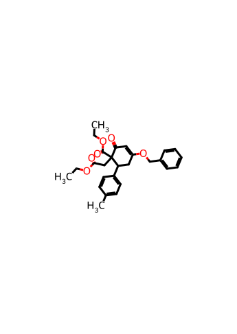 CCOC(=O)CC1(C(=O)OCC)C(=O)C=C(OCc2ccccc2)CC1c1ccc(C)cc1